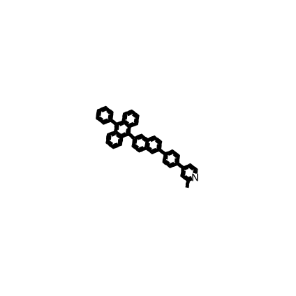 Cc1cc(-c2ccc(-c3ccc4cc(-c5c6ccccc6c(-c6ccccc6)c6ccccc56)ccc4c3)cc2)ccn1